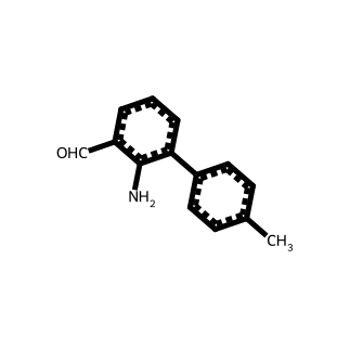 Cc1ccc(-c2cccc(C=O)c2N)cc1